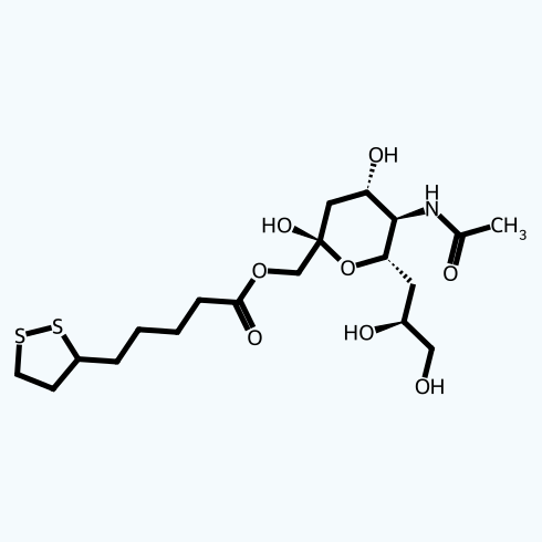 CC(=O)N[C@H]1[C@H](C[C@H](O)CO)O[C@](O)(COC(=O)CCCCC2CCSS2)C[C@@H]1O